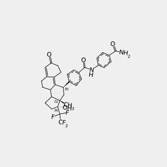 C[C@]12C[C@H](c3ccc(C(=O)Nc4ccc(C(N)=O)cc4)cc3)C3=C4CCC(=O)C=C4CCC3C1CC[C@]2(O)C(F)(F)C(F)(F)F